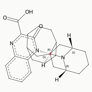 O=C(O)c1nc2ccccc2n([C@H]2C[C@H]3CCC[C@@H](C2)N3[C@H]2CC3CCCC2CCC3)c1=O